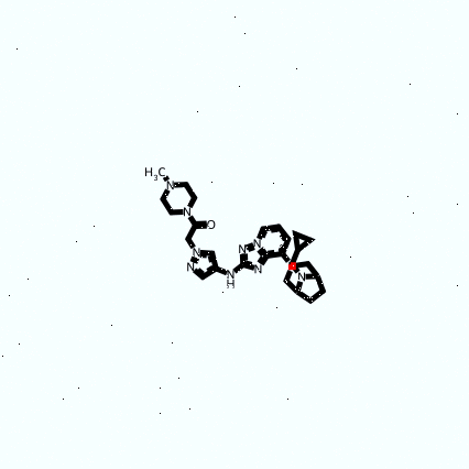 CN1CCN(C(=O)Cn2cc(Nc3nc4c(N5CC6CCC(C5)N6CC5CC5)cccn4n3)cn2)CC1